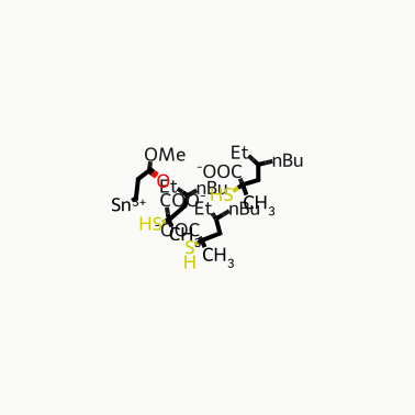 CCCCC(CC)CC(C)(S)C(=O)[O-].CCCCC(CC)CC(C)(S)C(=O)[O-].CCCCC(CC)CC(C)(S)C(=O)[O-].COC(=O)C[CH2][Sn+3]